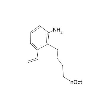 C=Cc1cccc(N)c1CCCCCCCCCCCC